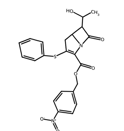 CC(O)C1C(=O)N2C(C(=O)OCc3ccc([N+](=O)[O-])cc3)=C(Sc3ccccc3)CC12